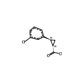 O=C(Cl)[C@H]1C[C@@H]1c1cccc(Cl)c1